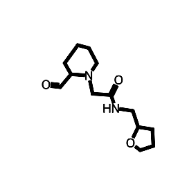 O=CC1CCCCN1CC(=O)NCC1CCCO1